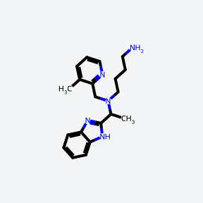 Cc1cccnc1CN(CCCCN)C(C)c1nc2ccccc2[nH]1